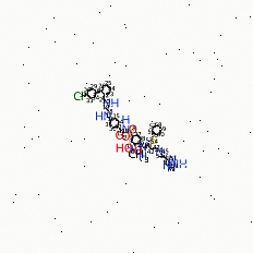 C[N+]([O-])(O)c1cc(S(=O)(=O)NC(=O)c2ccc(NCCNCc3ccccc3-c3ccc(Cl)cc3)cc2)ccc1N[C@H](CCN1CC(c2nn[nH]n2)C1)CSc1ccccc1